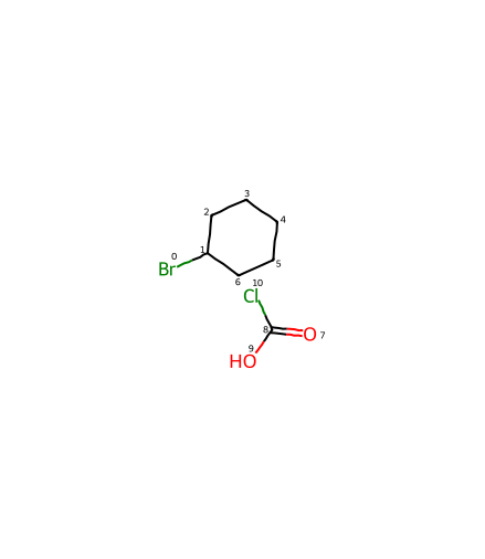 BrC1CCCCC1.O=C(O)Cl